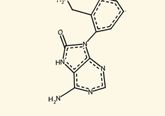 NCc1cc[c]cc1-n1c(=O)[nH]c2c(N)ncnc21